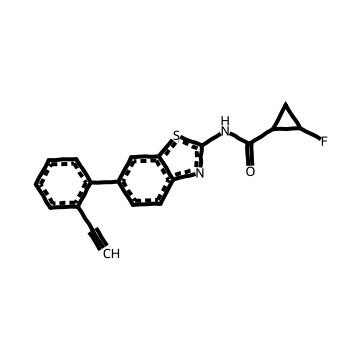 C#Cc1ccccc1-c1ccc2nc(NC(=O)C3CC3F)sc2c1